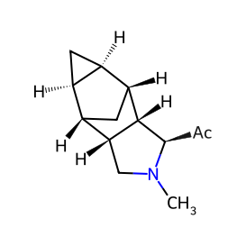 CC(=O)[C@@H]1[C@H]2[C@@H]3C[C@@H]([C@H]4C[C@H]43)[C@H]2CN1C